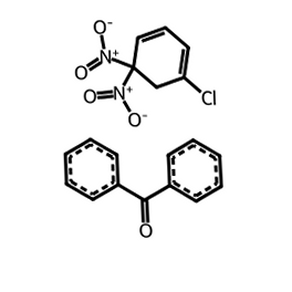 O=C(c1ccccc1)c1ccccc1.O=[N+]([O-])C1([N+](=O)[O-])C=CC=C(Cl)C1